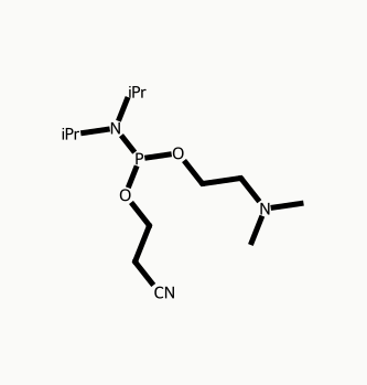 CC(C)N(C(C)C)P(OCCC#N)OCCN(C)C